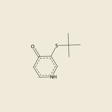 CC(C)(C)Sc1c[nH][c]cc1=O